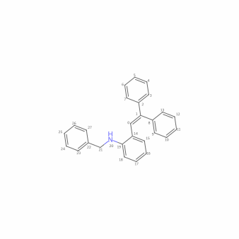 C(=C(c1ccccc1)c1ccccc1)c1ccccc1NCc1ccccc1